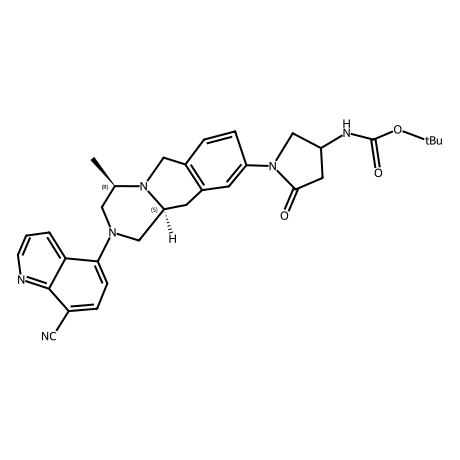 C[C@@H]1CN(c2ccc(C#N)c3ncccc23)C[C@@H]2Cc3cc(N4CC(NC(=O)OC(C)(C)C)CC4=O)ccc3CN21